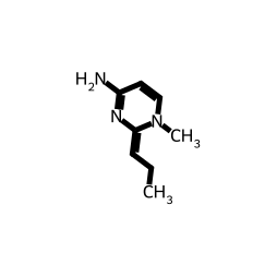 CC/C=C1/N=C(N)C=CN1C